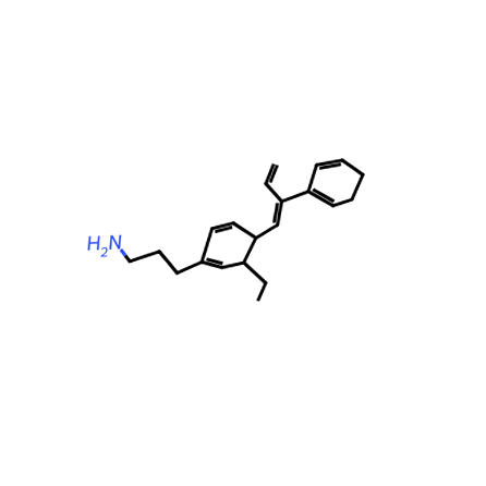 C=C/C(=C\C1C=CC(CCCN)=CC1CC)C1=CCCC=C1